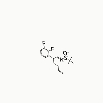 C=CCCC(C=N[S+]([O-])C(C)(C)C)c1cccc(F)c1F